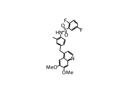 COc1cc2nccc(Cc3ccc(NS(=O)(=O)c4cc(F)ccc4F)c(C)c3)c2cc1OC